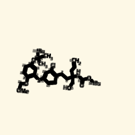 C=CCC(CO)(CCc1ccc(Sc2cc(O[Si](C)(C)C(C)(C)C)ccc2OCOC)cc1Cl)NC(=O)OC(C)(C)C